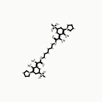 CS(=O)(=O)C1CC(N2CCCC2)=C(C#N)/C(=C(\C#N)C(=O)OCCCCCCOC(=O)/C(C#N)=C2\CC(S(C)(=O)=O)CC(N3CCCC3)=C2C#N)C1